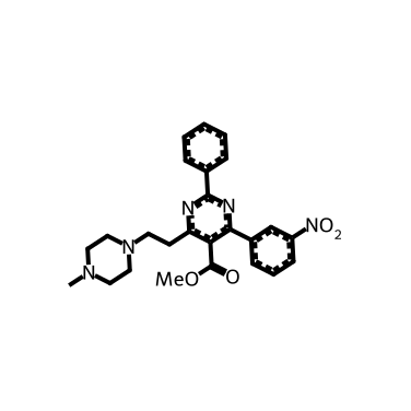 COC(=O)c1c(CCN2CCN(C)CC2)nc(-c2ccccc2)nc1-c1cccc([N+](=O)[O-])c1